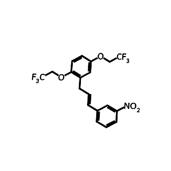 O=[N+]([O-])c1cccc(C=CCc2cc(OCC(F)(F)F)ccc2OCC(F)(F)F)c1